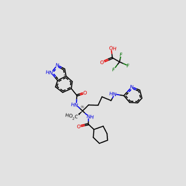 O=C(N[C@](CCCCNc1ccccn1)(NC(=O)C1CCCCC1)C(=O)O)c1ccc2[nH]ncc2c1.O=C(O)C(F)(F)F